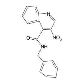 O=C(NCc1ccccc1)c1c([N+](=O)[O-])cnc2ccccc12